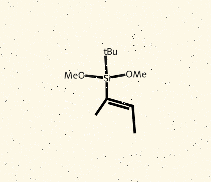 CC=C(C)[Si](OC)(OC)C(C)(C)C